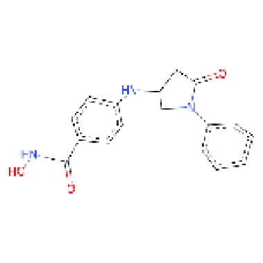 O=C(NO)c1ccc(NC2CC(=O)N(c3ccccc3)C2)cc1